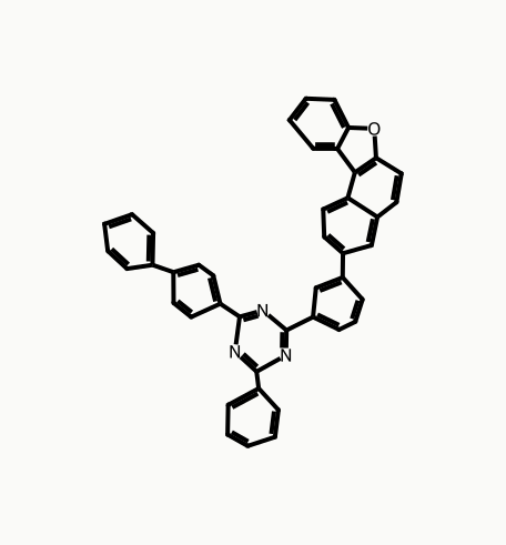 c1ccc(-c2ccc(-c3nc(-c4ccccc4)nc(-c4cccc(-c5ccc6c(ccc7oc8ccccc8c76)c5)c4)n3)cc2)cc1